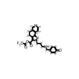 O=C(OC(=O)C(F)(F)F)c1c2c(nn1CCCNCc1ccc(Cl)cc1)-c1ccncc1CC2